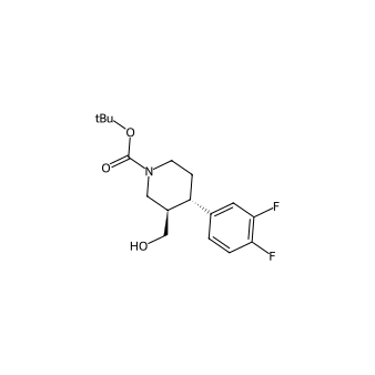 CC(C)(C)OC(=O)N1CC[C@H](c2ccc(F)c(F)c2)[C@@H](CO)C1